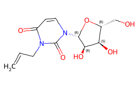 C=CCn1c(=O)ccn([C@@H]2O[C@H](CO)[C@@H](O)[C@H]2O)c1=O